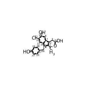 Cc1c(CC(=O)O)c2cc(O)c(Cl)cc2n1Cc1ccc(O)cc1